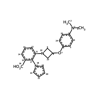 CN(C)c1ccc(OC2CN(c3cccc(C(=O)O)c3-n3cccc3)C2)cc1